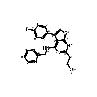 OCCc1nc(NCc2ccccn2)c2c(-c3ccc(F)cc3)csc2n1